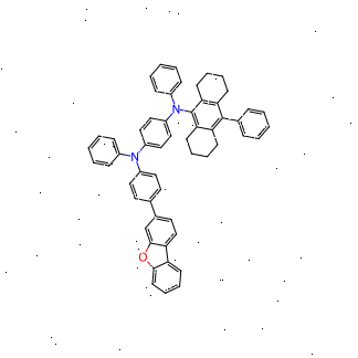 c1ccc(-c2c3c(c(N(c4ccccc4)c4ccc(N(c5ccccc5)c5ccc(-c6ccc7c(c6)oc6ccccc67)cc5)cc4)c4c2CCCC4)CCCC3)cc1